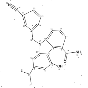 CC(C)c1cc(O)c2c3c(C(N)=O)cccc3n(Cc3cccc(C#N)c3)c2c1